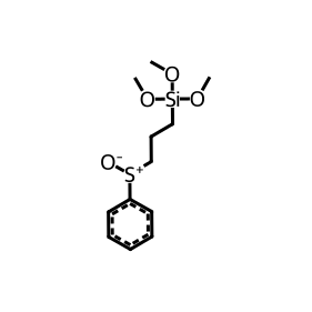 CO[Si](CCC[S+]([O-])c1ccccc1)(OC)OC